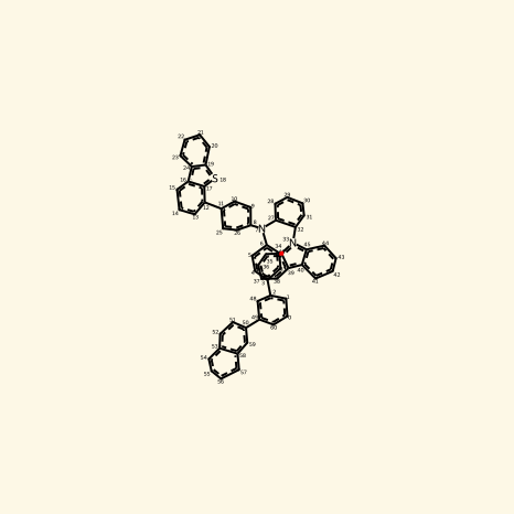 c1cc(-c2ccc(N(c3ccc(-c4cccc5c4sc4ccccc45)cc3)c3ccccc3-n3c4ccccc4c4ccccc43)cc2)cc(-c2ccc3ccccc3c2)c1